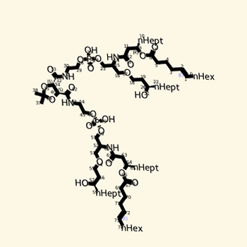 CCCCCC/C=C/CCCC(=O)O[C@H](CCCCCCC)CC(=O)NC(COCC[C@H](O)CCCCCCC)COP(=O)(O)OCCNC(=O)[C@H]1OC(C)(C)O[C@@H]1C(=O)NCCOP(=O)(O)OCC(COCC[C@H](O)CCCCCCC)NC(=O)C[C@@H](CCCCCCC)OC(=O)CCC/C=C/CCCCCC